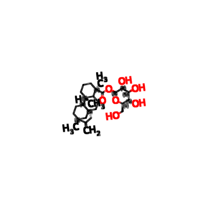 C=C1C[C@@]23CCC4[C@](C)(C(=O)O[C@@H]5O[C@H](CO)[C@@H](O)[C@H](O)[C@H]5O)CCC[C@@]4(C)[C@@H]2CC[C@]1(C)C3